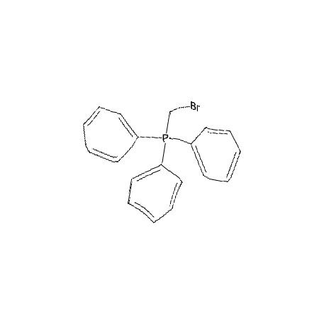 BrC[P](c1ccccc1)(c1ccccc1)c1ccccc1